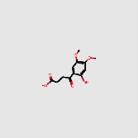 COc1cc(O)c(C(=O)CCC(=O)O)cc1OC